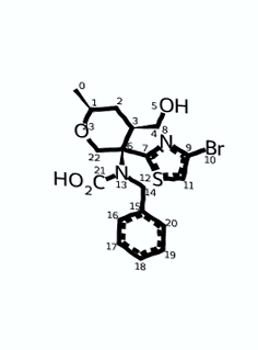 C[C@H]1C[C@@H](CO)[C@@](c2nc(Br)cs2)(N(Cc2ccccc2)C(=O)O)CO1